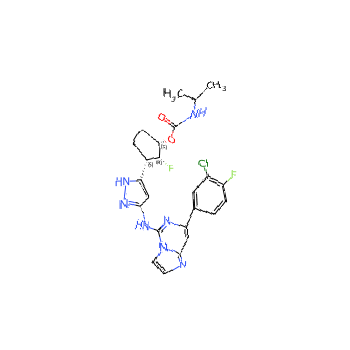 CC(C)NC(=O)O[C@H]1CC[C@@H](c2cc(Nc3nc(-c4ccc(F)c(Cl)c4)cc4nccn34)n[nH]2)[C@H]1F